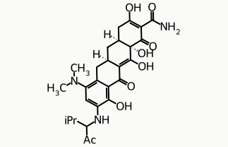 CC(=O)C(Nc1cc(N(C)C)c2c(c1O)C(=O)C1=C(O)[C@]3(O)C(=O)C(C(N)=O)=C(O)C[C@@H]3C[C@@H]1C2)C(C)C